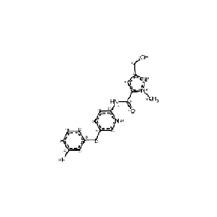 Cn1nc(CO)cc1C(=O)Nc1ccc(Cc2cccc(F)c2)cn1